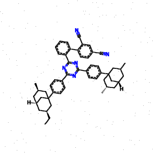 CC[C@H]1C[C@H]2C[C@@H](C)CC(c3ccc(-c4nc(-c5ccc(C67CC(C)C[C@H](C[C@H](C)C6)C7)cc5)nc(-c5ccccc5-c5ccc(C#N)cc5C#N)n4)cc3)(C2)C1